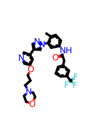 Cc1ccc(NC(=O)Cc2cccc(C(F)(F)F)c2)cc1-n1cc(-c2cncc(OCCCN3CCOCC3)c2)cn1